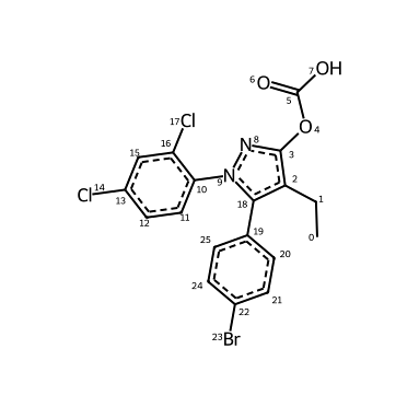 CCc1c(OC(=O)O)nn(-c2ccc(Cl)cc2Cl)c1-c1ccc(Br)cc1